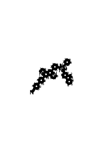 CC1(C)c2ccccc2-c2ccc(-c3nc(-c4ccccc4)nc(-c4cccc(-c5cc6c7cccnc7c(-c7ccc(-c8ccc(C#N)cc8)cc7)cc6c6cccnc56)c4)n3)cc21